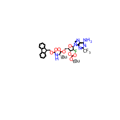 CC[C@@H](C)[C@@H](NC(=O)OCC1c2ccccc2-c2ccccc21)C(=O)OC[C@H]1O[C@@H](n2cnc3c(N)nc(C(F)(F)F)nc32)[C@@H](F)[C@@H]1OC(=O)OC(C)(C)C